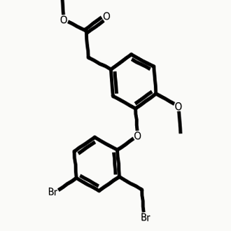 COC(=O)Cc1ccc(OC)c(Oc2ccc(Br)cc2CBr)c1